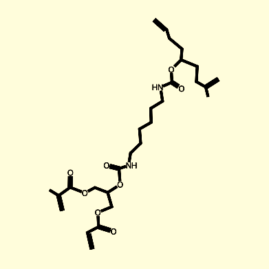 C=CCCC(CCC(=C)C)OC(=O)NCCCCCCNC(=O)OC(COC(=O)C=C)COC(=O)C(=C)C